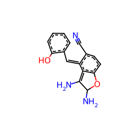 N#Cc1ccc2c(c1=Cc1ccccc1O)=C(N)C(N)O2